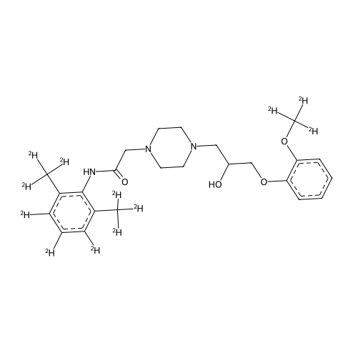 [2H]c1c([2H])c(C([2H])([2H])[2H])c(NC(=O)CN2CCN(CC(O)COc3ccccc3OC([2H])([2H])[2H])CC2)c(C([2H])([2H])[2H])c1[2H]